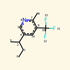 CCC(C)c1cnc(C)c(C(F)(F)F)c1